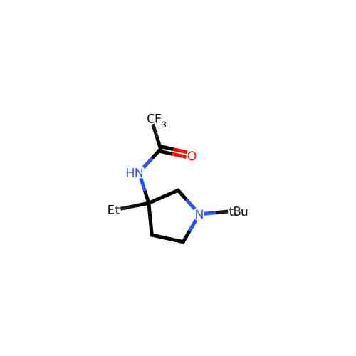 CCC1(NC(=O)C(F)(F)F)CCN(C(C)(C)C)C1